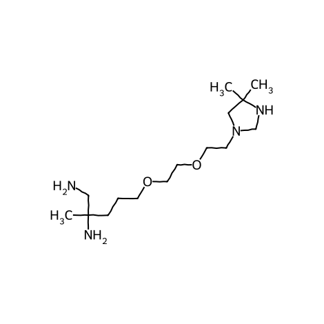 CC(N)(CN)CCCOCCOCCN1CNC(C)(C)C1